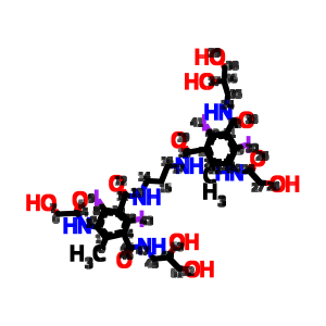 Cc1c(NC(=O)CO)c(I)c(C(=O)NCCCNC(=O)c2c(C)c(NC(=O)CO)c(I)c(C(=O)NCC(O)CO)c2I)c(I)c1C(=O)NCC(O)CO